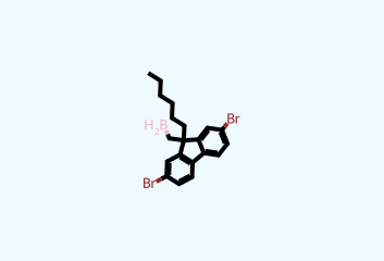 BCC1(CCCCCC)c2cc(Br)ccc2-c2ccc(Br)cc21